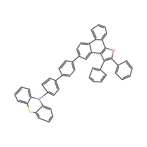 c1ccc(-c2oc3c4ccccc4c4ccc(-c5ccc(-c6ccc(N7c8ccccc8Sc8ccccc87)cc6)cc5)cc4c3c2-c2ccccc2)cc1